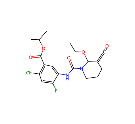 CCOC1C(=C=O)CCCN1C(=O)Nc1cc(C(=O)OC(C)C)c(Cl)cc1F